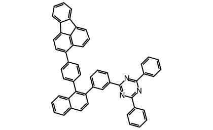 c1ccc(-c2nc(-c3ccccc3)nc(-c3cccc(-c4ccc5ccccc5c4-c4ccc(-c5ccc6c7c(cccc57)-c5ccccc5-6)cc4)c3)n2)cc1